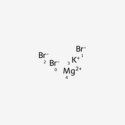 [Br-].[Br-].[Br-].[K+].[Mg+2]